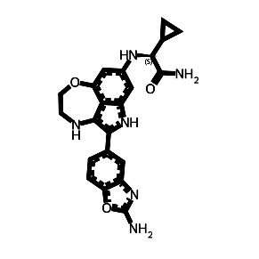 NC(=O)[C@@H](Nc1cc2c3c(c(-c4ccc5oc(N)nc5c4)[nH]c3c1)NCCO2)C1CC1